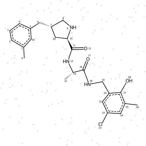 Cc1cccc(C[C@@H]2CN[C@@H](C(=O)N[C@@H](C)C(=O)NCc3cc(Cl)cc(C)c3O)C2)c1